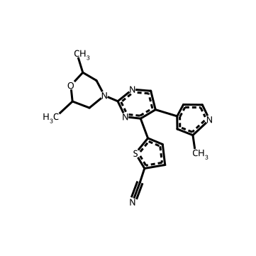 Cc1cc(-c2cnc(N3CC(C)OC(C)C3)nc2-c2ccc(C#N)s2)ccn1